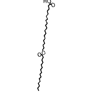 CCCCCCCCCCCCCCCC(=O)OCCCCCCCCCCCCCCCCCCCC(=O)O